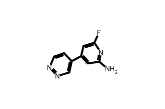 Nc1[c]c(-c2ccnnc2)cc(F)n1